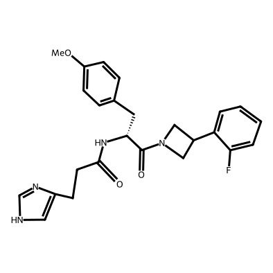 COc1ccc(C[C@@H](NC(=O)CCc2c[nH]cn2)C(=O)N2CC(c3ccccc3F)C2)cc1